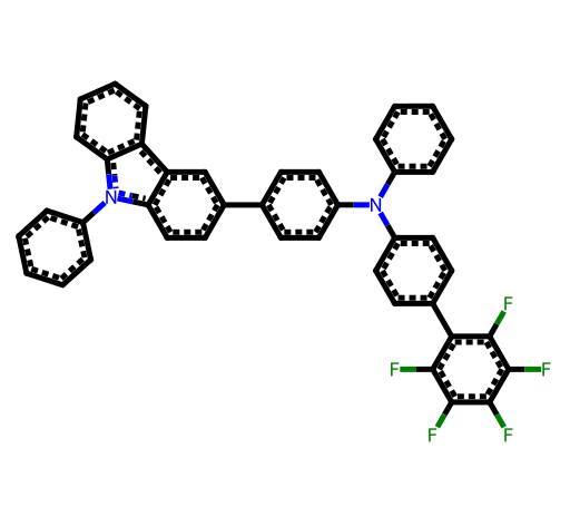 Fc1c(F)c(F)c(-c2ccc(N(c3ccccc3)c3ccc(-c4ccc5c(c4)c4ccccc4n5-c4ccccc4)cc3)cc2)c(F)c1F